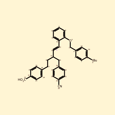 CC(C)(C)c1ccc(COc2ccccc2/C=C/C(CCc2ccc(C(=O)O)cc2)Cc2ccc(C#N)cc2)cc1